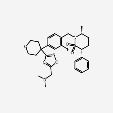 C[C@H]1CC[C@H](c2ccccc2)S(=O)(=O)N1Cc1ccc(C2(c3noc(CN(C)C)n3)CCOCC2)cc1F